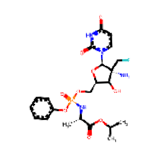 CC(C)OC(=O)[C@H](C)N[P@@](=O)(OC[C@H]1O[C@@H](n2ccc(=O)[nH]c2=O)[C@@](N)(CF)C1O)Oc1ccccc1